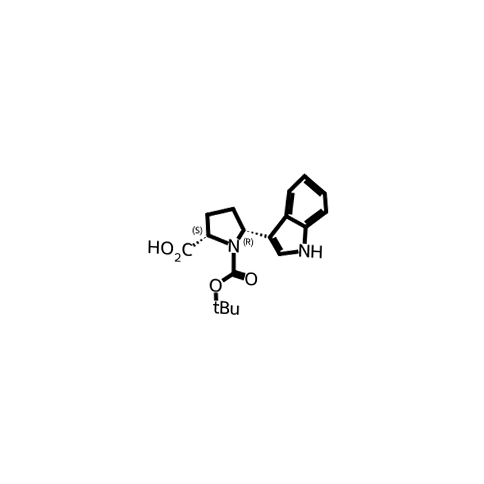 CC(C)(C)OC(=O)N1[C@@H](c2c[nH]c3ccccc23)CC[C@H]1C(=O)O